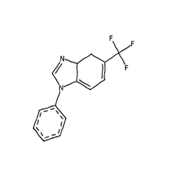 FC(F)(F)C1=CC=C2C(C1)N=CN2c1ccccc1